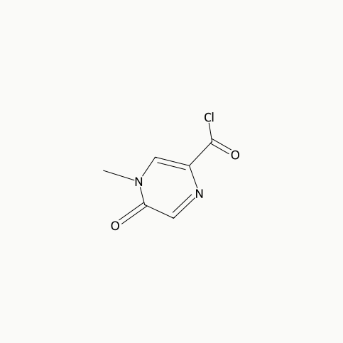 Cn1cc(C(=O)Cl)ncc1=O